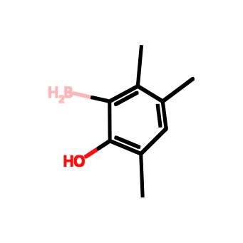 Bc1c(C)c(C)cc(C)c1O